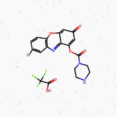 O=C(O)C(F)(F)F.O=C(Oc1cc(=O)cc2oc3ccc(Cl)cc3nc1-2)N1CCNCC1